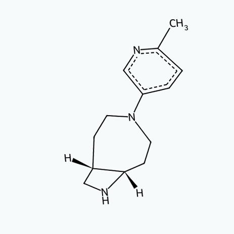 Cc1ccc(N2CC[C@H]3CN[C@H]3CC2)cn1